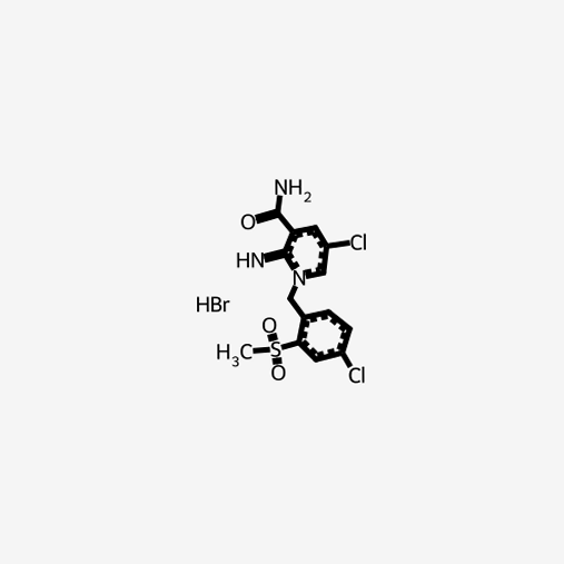 Br.CS(=O)(=O)c1cc(Cl)ccc1Cn1cc(Cl)cc(C(N)=O)c1=N